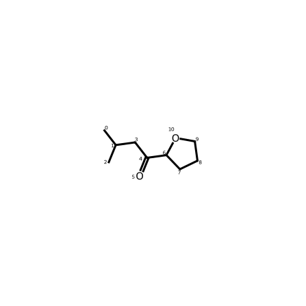 CC(C)CC(=O)C1CCCO1